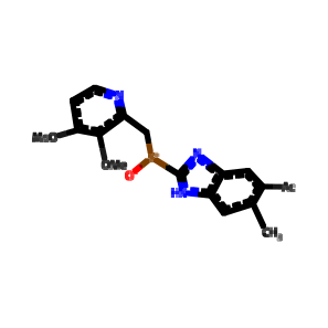 COc1ccnc(C[S+]([O-])c2nc3cc(C(C)=O)c(C)cc3[nH]2)c1OC